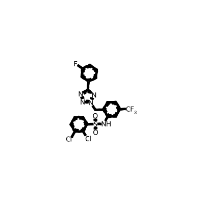 O=S(=O)(Nc1cc(C(F)(F)F)ccc1Cn1nnc(-c2cccc(F)c2)n1)c1cccc(Cl)c1Cl